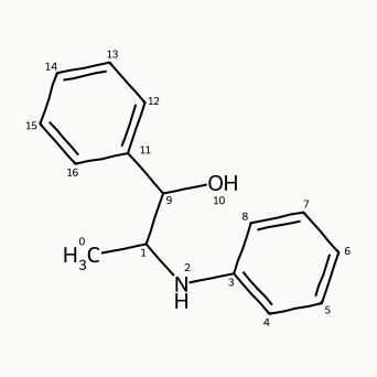 CC(Nc1ccccc1)C(O)c1ccccc1